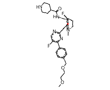 COCCOCc1ccc(-c2nc(C3CC(F)(NC(=O)C4CCNCC4)C4CC[N+]3(C)CC4)ncc2F)cc1